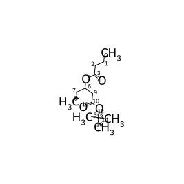 CCCC(=O)OC(CC)CC(=O)OC(C)(C)C